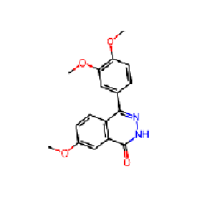 COc1ccc2c(-c3ccc(OC)c(OC)c3)n[nH]c(=O)c2c1